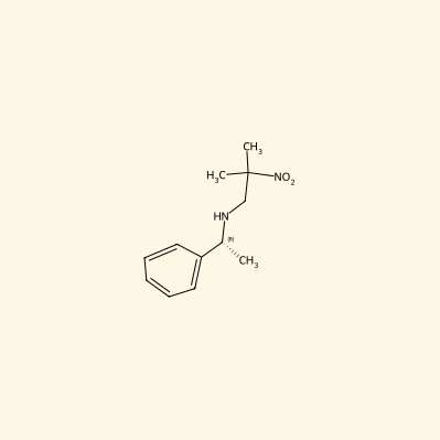 C[C@@H](NCC(C)(C)[N+](=O)[O-])c1ccccc1